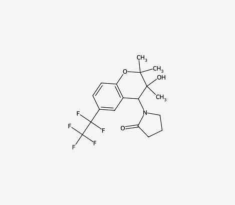 CC1(C)Oc2ccc(C(F)(F)C(F)(F)F)cc2C(N2CCCC2=O)C1(C)O